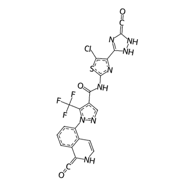 O=C=C1N=C(c2nc(NC(=O)c3cnn(-c4cccc5c4C=CNC5=C=O)c3C(F)(F)F)sc2Cl)NN1